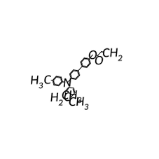 C=CC(=O)Oc1ccc(-c2ccc(N(C(/C=C\C(=C)C)=C/C)c3ccc(C)cc3)cc2)cc1